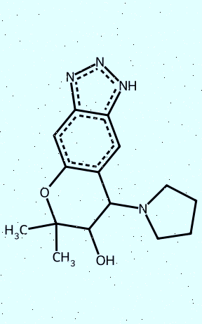 CC1(C)Oc2cc3nn[nH]c3cc2C(N2CCCC2)C1O